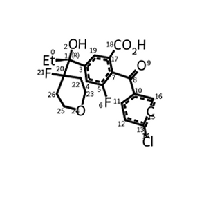 CC[C@@](O)(c1cc(F)c(C(=O)c2ccc(Cl)cc2)c(C(=O)O)c1)C1(F)CCOCC1